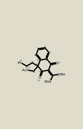 CSC(SC)=C1C(=O)c2ccccc2C(CCC(C)C)(COC(C)=O)C1=O